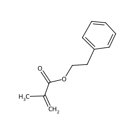 C=C(C)C(=O)OCCc1ccccc1